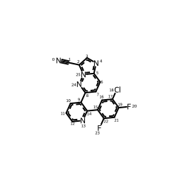 N#Cc1cnc2ccc(-c3cccnc3-c3cc(Cl)c(F)cc3F)nn12